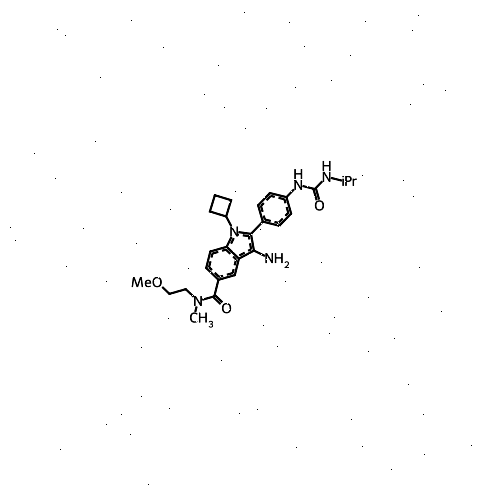 COCCN(C)C(=O)c1ccc2c(c1)c(N)c(-c1ccc(NC(=O)NC(C)C)cc1)n2C1CCC1